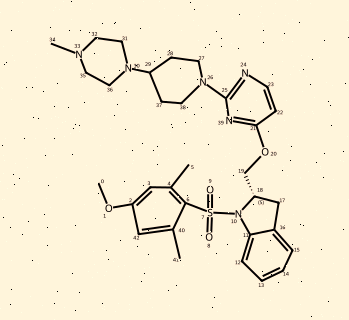 COc1cc(C)c(S(=O)(=O)N2c3ccccc3C[C@H]2COc2ccnc(N3CCC(N4CCN(C)CC4)CC3)n2)c(C)c1